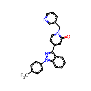 O=c1cc(-c2nn(-c3ccc(C(F)(F)F)cc3)c3ccccc23)ccn1Cc1cccnc1